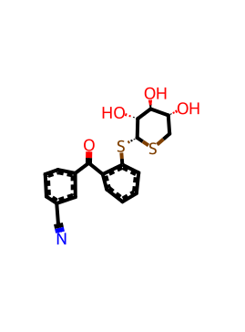 N#Cc1cccc(C(=O)c2ccccc2S[C@H]2SC[C@@H](O)[C@H](O)[C@H]2O)c1